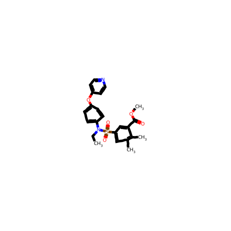 CCN(c1ccc(Oc2ccncc2)cc1)S(=O)(=O)c1cc(C)c(C)c(C(=O)OC)c1